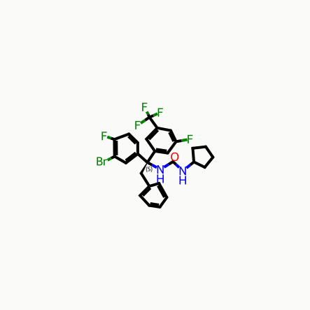 O=C(NC1CCCC1)N[C@@](Cc1ccccc1)(c1cc(F)cc(C(F)(F)F)c1)c1ccc(F)c(Br)c1